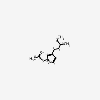 CCC(C)CCc1ccnc(SC(C)=S)c1